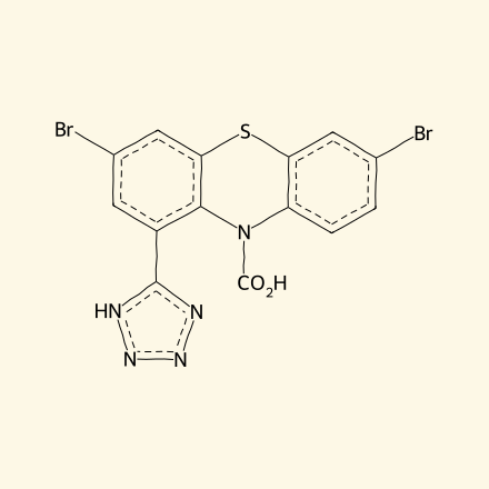 O=C(O)N1c2ccc(Br)cc2Sc2cc(Br)cc(-c3nnn[nH]3)c21